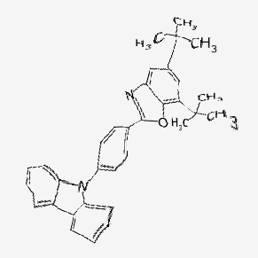 CC(C)(C)c1cc(C(C)(C)C)c2oc(-c3ccc(-n4c5ccccc5c5ccccc54)cc3)nc2c1